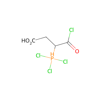 O=C(O)CC(C(=O)Cl)[PH](Cl)(Cl)Cl